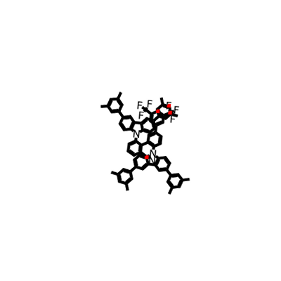 Cc1cc(C)cc(-c2ccc3c(c2)c2cc(-c4cc(C)cc(C)c4)ccc2n3-c2ccc(-c3cc(C(F)(F)F)cc(C(F)(F)F)c3)cc2-c2c(C#N)cccc2-n2c3ccc(-c4cc(C)cc(C)c4)cc3c3cc(-c4cc(C)cc(C)c4)ccc32)c1